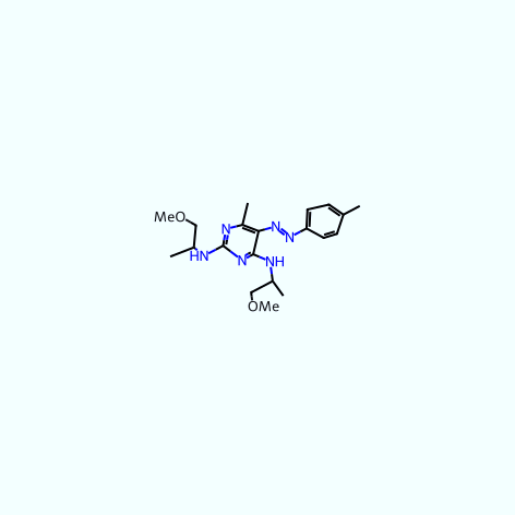 COCC(C)Nc1nc(C)c(N=Nc2ccc(C)cc2)c(NC(C)COC)n1